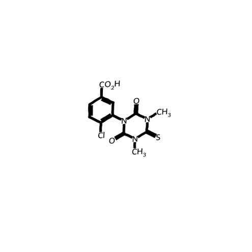 Cn1c(=S)n(C)c(=O)n(-c2cc(C(=O)O)ccc2Cl)c1=O